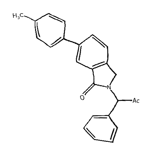 CC(=O)C(c1ccccc1)N1Cc2ccc(-c3ccc(C)cc3)cc2C1=O